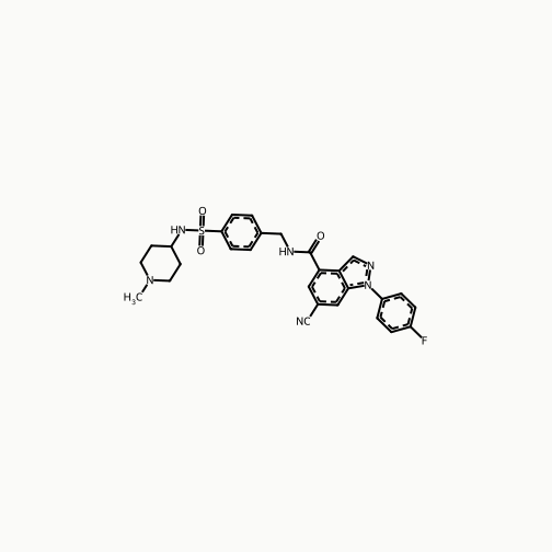 CN1CCC(NS(=O)(=O)c2ccc(CNC(=O)c3cc(C#N)cc4c3cnn4-c3ccc(F)cc3)cc2)CC1